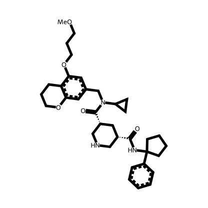 COCCCOc1cc(CN(C(=O)[C@H]2CNC[C@@H](C(=O)NC3(c4ccccc4)CCCC3)C2)C2CC2)cc2c1CCCO2